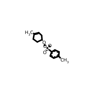 CC1=CC[C@@H](OOS(=O)(=O)c2ccc(C)cc2)CC1